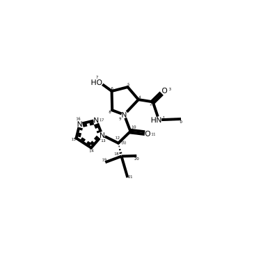 CNC(=O)C1CC(O)CN1C(=O)[C@@H](n1ccnn1)C(C)(C)C